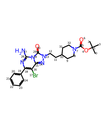 CC(C)(C)OC(=O)N1CCC(CCn2nc3c(Br)c(-c4ccccc4)nc(N)n3c2=O)CC1